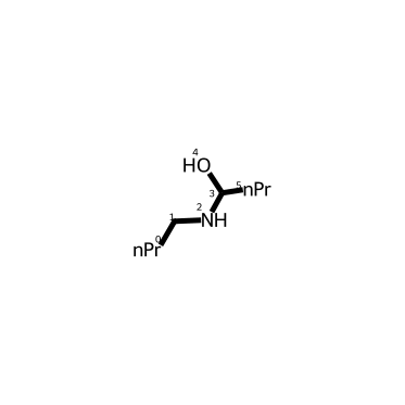 CCCCNC(O)CCC